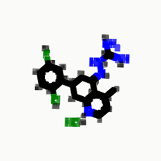 Cc1ccnc2c1C(=NNC(=N)N)CC(c1cc(F)ccc1Cl)C2.Cl